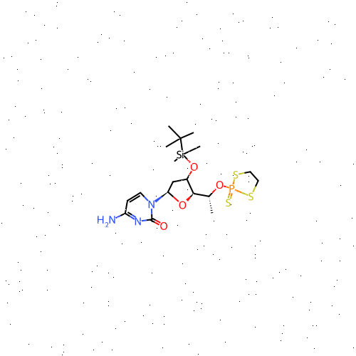 C[C@@H](OP1(=S)SCCS1)[C@H]1O[C@@H](n2ccc(N)nc2=O)CC1O[Si](C)(C)C(C)(C)C